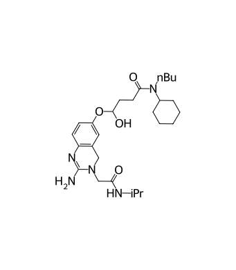 CCCCN(C(=O)CCC(O)Oc1ccc2c(c1)CN(CC(=O)NC(C)C)C(N)=N2)C1CCCCC1